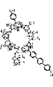 CCCCCOc1ccc(-c2ccc(-c3ccc(C(=O)N[C@H]4C[C@@H](O)[C@@H](OCC5CC(OC(C)=O)[N+]5(C)C)NC(=O)[C@@H]5[C@@H](O)[C@@H](C)CN5C(=O)[C@H]([C@@H](C)O)NC(=O)[C@H]([C@H](O)[C@@H](O)c5ccc(O)cc5)NC(=O)[C@@H]5C[C@@H](O)CN5C(=O)[C@H]([C@@H](C)O)NC4=O)cc3)cc2)cc1